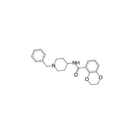 O=C(NC1CCN(Cc2ccccc2)CC1)c1cccc2c1OCCO2